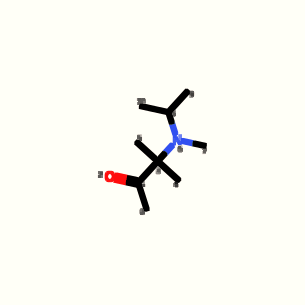 CC(=O)C(C)(C)N(C)C(C)C